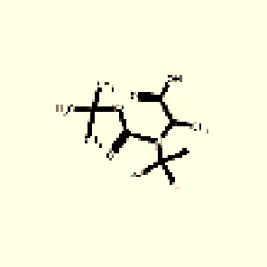 [2H]C([2H])([2H])N(C(=O)OC(C)(C)C)C(C)C(=O)O